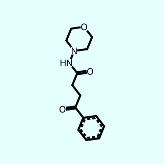 O=C(CCC(=O)c1ccccc1)NN1CCOCC1